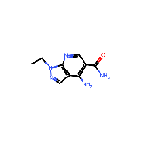 CCn1ncc2c(N)c(C(N)=O)cnc21